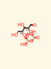 O=C[C@@H](O)[C@H](O)[C@H](O)CO.O=S(O)OS(=O)O